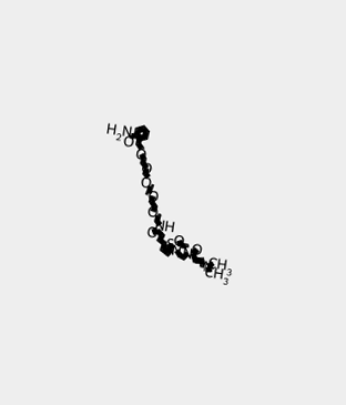 CN(C)CC=CC(=O)N1CCN(c2ccc(CCC(=O)NCCOCCOCCOCCOCCOCCc3ccccc3C(N)=O)s2)C(=O)C1